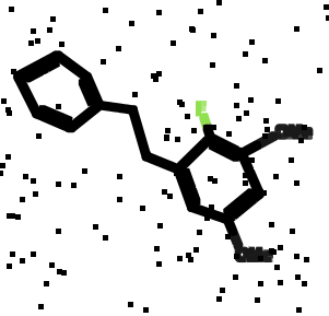 COc1cc(CCc2ccccc2)c(F)c(OC)c1